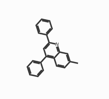 Cc1ccc2c(-c3ccccc3)cc(-c3ccccc3)nc2c1